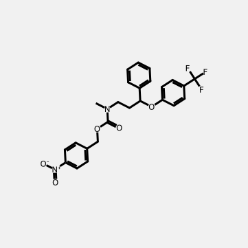 CN(CCC(Oc1ccc(C(F)(F)F)cc1)c1ccccc1)C(=O)OCc1ccc([N+](=O)[O-])cc1